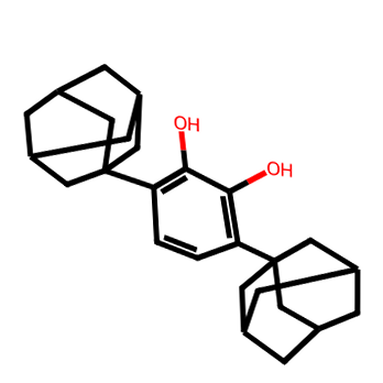 Oc1c(C23CC4CC(CC(C4)C2)C3)ccc(C23CC4CC(CC(C4)C2)C3)c1O